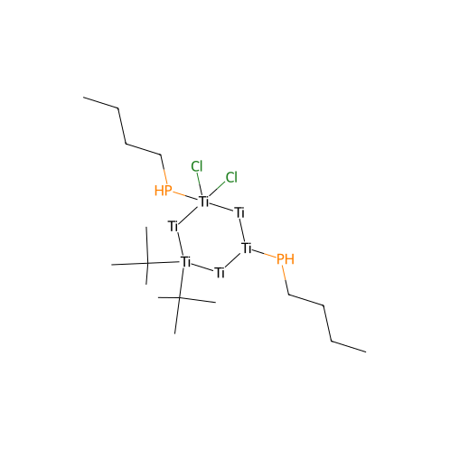 CCCC[PH][Ti]1[Ti][Ti]([C](C)(C)C)([C](C)(C)C)[Ti][Ti]([Cl])([Cl])([PH]CCCC)[Ti]1